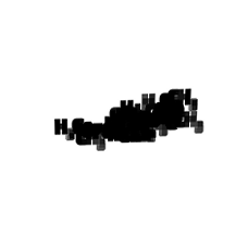 COc1nc(NCCCN(C)C)nc(OC)c1NC(=O)c1ccc(Cc2cc3c(cc2C)[Si](C)(C)CC[Si]3(C)C)o1